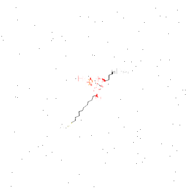 CCCCCCCCCCCCCC(=O)O[C@@H](COC(=O)CCCCCCCCCCCSC(C)=O)COP(=O)(O)O